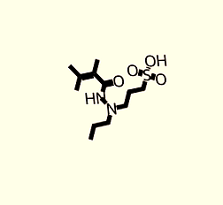 CCCN(CCCS(=O)(=O)O)NC(=O)C(C)=C(C)C